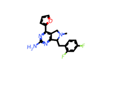 CN1Cc2c(-c3ccco3)nc(N)nc2C1Cc1ccc(F)cc1F